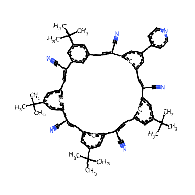 CC(C)(C)c1cc2cc(c1)/C(C#N)=C/c1cc(cc(C(C)(C)C)c1)/C(C#N)=C/c1cc(cc(C(C)(C)C)c1)/C(C#N)=C/c1cc(cc(C(C)(C)C)c1)/C(C#N)=C/c1cc(cc(-c3ccncc3)c1)/C(C#N)=C/2